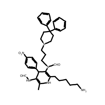 CC1=C(NC=O)C(c2ccc([N+](=O)[O-])cc2)C(N(C=O)CCCN2CCC(c3ccccc3)(c3ccccc3)CC2)=C(CCCCCN)N1